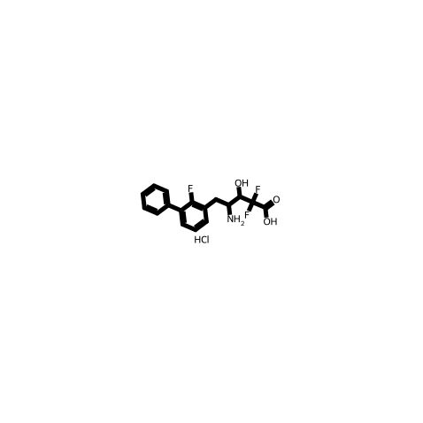 Cl.NC(Cc1cccc(-c2ccccc2)c1F)C(O)C(F)(F)C(=O)O